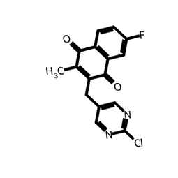 CC1=C(Cc2cnc(Cl)nc2)C(=O)c2cc(F)ccc2C1=O